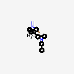 CC1(c2ccccc2)c2ccc3c(c2Sc2ccc4[nH]c5ccccc5c4c21)c1ccccc1n3-c1ccc(-c2ccccc2)cc1